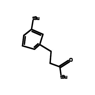 CC(C)(C)C(=O)CCc1cccc(C(C)(C)C)c1